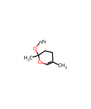 CCCOC1(C)CCC(C)=CO1